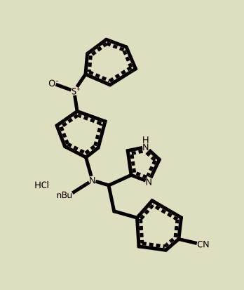 CCCCN(c1ccc([S+]([O-])c2ccccc2)cc1)C(Cc1ccc(C#N)cc1)c1c[nH]cn1.Cl